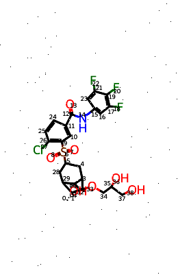 C[C@H]1CC2CC(S(=O)(=O)c3cc(C(=O)Nc4cc(F)c(F)c(F)c4)ccc3Cl)CC1[C@@]2(O)COCC(O)CO